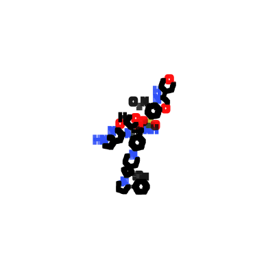 CC(C)(C)c1ccccc1[C@@H]1CCCN1C1CC2(CCN(c3ccc(C(=O)NS(=O)(=O)c4cc5c(c([N+](=O)[O-])c4)N[C@@H](C4CCOCC4)CO5)c(N4c5cc6cc[nH]c6nc5O[C@@H]5COC[C@@H]54)c3)CC2)C1